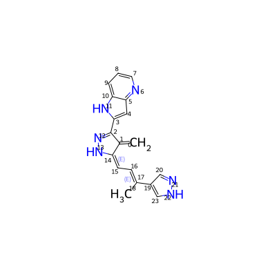 C=c1c(-c2cc3ncccc3[nH]2)n[nH]/c1=C/C=C(\C)c1cn[nH]c1